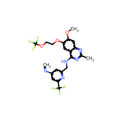 C=Nc1cc(CNc2nc(C)nc3cc(OC)c(OCCOC(F)(F)F)cc23)nc(C(F)(F)F)c1